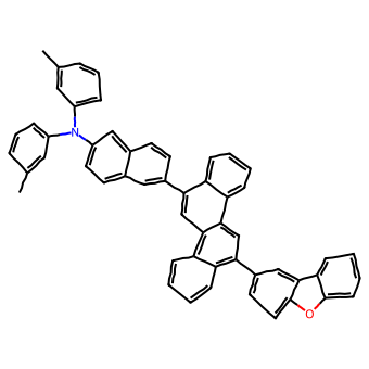 Cc1cccc(N(c2cccc(C)c2)c2ccc3cc(-c4cc5c6ccccc6c(-c6ccc7oc8ccccc8c7c6)cc5c5ccccc45)ccc3c2)c1